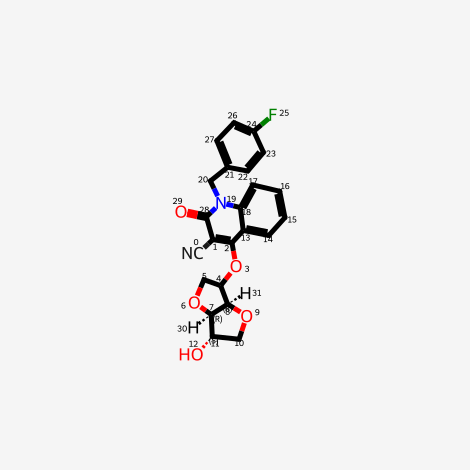 N#Cc1c(OC2CO[C@H]3[C@@H]2OC[C@@H]3O)c2ccccc2n(Cc2ccc(F)cc2)c1=O